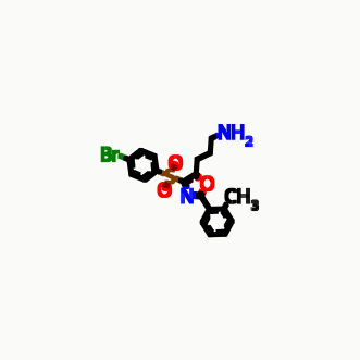 Cc1ccccc1-c1nc(S(=O)(=O)c2ccc(Br)cc2)c(CCCN)o1